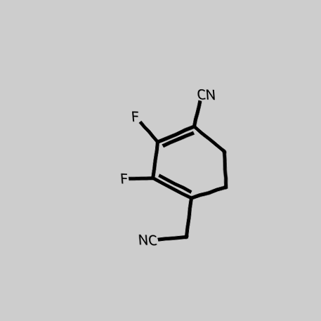 N#CCC1=C(F)C(F)=C(C#N)CC1